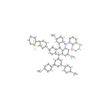 Cc1cc2c3c(c1)N(c1cccc4c1OCCO4)c1ccc(C(C)(C)C)cc1B3c1cc(-c3ccc4c(c3)sc3ccccc34)ccc1N2c1cc(-c2ccc(C(C)(C)C)cc2)cc(-c2ccc(C(C)(C)C)cc2)c1